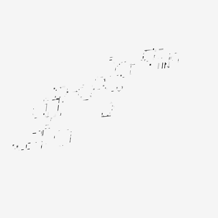 COC(=O)N[C@H](C(=O)N1CCC[C@H]1c1ncc(-c2ccc3c(c2)cc2n3C(c3ccc(C)s3)Oc3cc(-c4c[nH]c([C@@H]5CCCN5)n4)cc(F)c3-2)[nH]1)C1CCOCC1